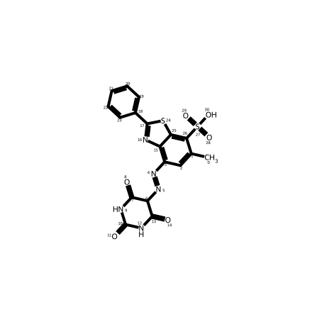 Cc1cc(N=NC2C(=O)NC(=O)NC2=O)c2nc(-c3ccccc3)sc2c1S(=O)(=O)O